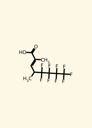 CC(=CC(C)C(F)(F)C(F)(F)C(F)(F)C(F)(F)F)C(=O)O